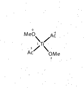 C[O][Ti]([O]C)([C](C)=O)[C](C)=O